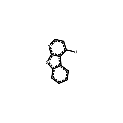 Clc1ccnc2sc3ccccc3c12